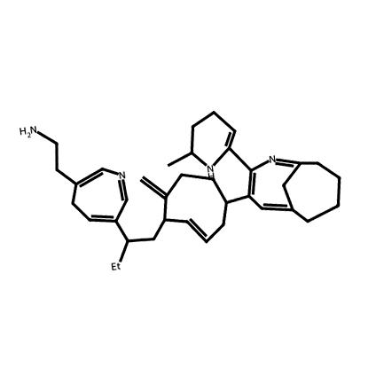 C=C1CCC(C2=C(C3=CCCC(C)N3)N=C3CCCCC(=C2)C3)C/C=C/C1CC(CC)C1=CCC(CCN)=CN=C1